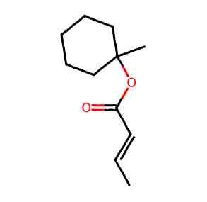 C/C=C/C(=O)OC1(C)CCCCC1